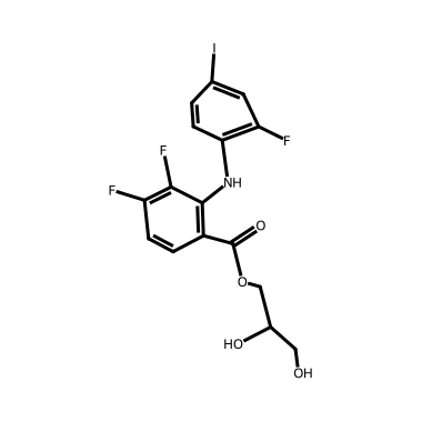 O=C(OCC(O)CO)c1ccc(F)c(F)c1Nc1ccc(I)cc1F